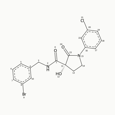 O=C(NCc1cccc(Br)c1)[C@]1(O)CCN(c2cccc(Cl)c2)C1=O